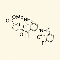 COC(=O)C1C=CC(S(=O)(=O)Nc2cc(NC(=O)c3c(F)cccc3Cl)ccc2CN)O1